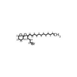 CCCCCCCCCCCCC(CCCBr)OC1CCCCO1